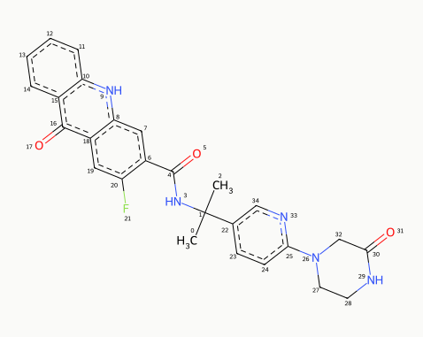 CC(C)(NC(=O)c1cc2[nH]c3ccccc3c(=O)c2cc1F)c1ccc(N2CCNC(=O)C2)nc1